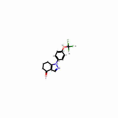 O=C1CCCc2c1cnn2-c1ccc(OC(F)(F)F)cc1